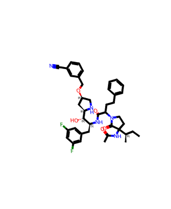 CC[C@@H](C)C1(NC(C)=O)CCN(C(CCc2ccccc2)C(=O)N[C@@H](Cc2cc(F)cc(F)c2)[C@H](O)[C@H]2C[C@@H](OCc3cccc(C#N)c3)CN2)C1=O